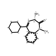 CN1C(=O)[C@@H](N)N=C(C2CCCCC2)c2ccccc21